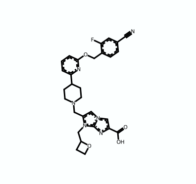 N#Cc1ccc(COc2cccc(C3CCN(Cc4cn5cc(C(=O)O)nc5n4CC4CCO4)CC3)n2)c(F)c1